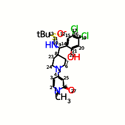 Cn1ccc(N2CCC([C@@H](N[S+]([O-])C(C)(C)C)c3cc(Cl)c(Cl)cc3O)CC2)cc1=O